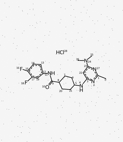 Cc1nc(NC2CCC(C(=O)Nc3ccc(F)c(F)c3)CC2)cc(N(C)C)n1.Cl